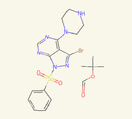 CC(C)(C)OC=O.O=S(=O)(c1ccccc1)n1nc(Br)c2c(N3CCNCC3)ncnc21